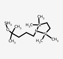 CC(C)(CCCN1[Si](C)(C)CC[Si]1(C)C)O[SiH3]